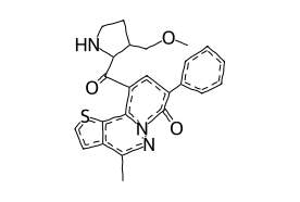 COCC1CCNC1C(=O)c1cc(-c2ccccc2)c(=O)n2nc(C)c3ccsc3c12